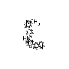 Cc1cc(-c2ccc(CNc3nccc(-c4ccc5ncccc5c4)n3)cc2)ccn1